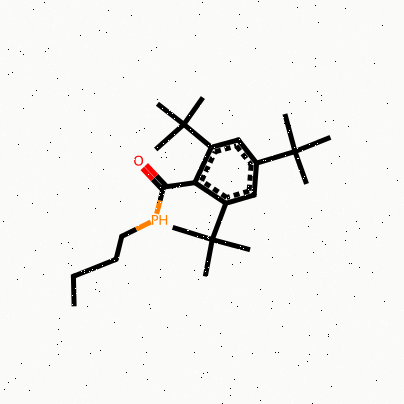 CCCCPC(=O)c1c(C(C)(C)C)cc(C(C)(C)C)cc1C(C)(C)C